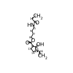 C=CC(=O)NCCCCOC(=O)C1CCN(C=C)C1O